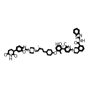 Cc1c(OC2CCC(CC[C@@H](C)CN3CCN(c4nc5ccc(C6CCC(=O)NC6=O)cc5o4)CC3)CC2)cccc1-c1ccc(N2CCc3cccc(C(=O)Nc4nc5ccccc5s4)c3C2)nc1C(=O)O